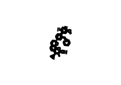 COc1cc(-c2ccc([C@H]3CCc4ccc([C@H](C5CC5)[C@H](C)C(=O)O)cc4O3)cc2CN2CCCCC2)c(F)cn1